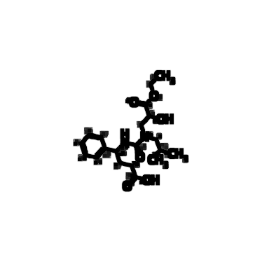 CCOC(=O)C(O)CN(CC(C)C)C(=O)NC(CCC(=O)O)c1ccccc1